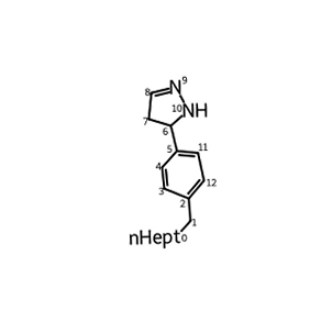 CCCCCCCCc1ccc(C2CC=NN2)cc1